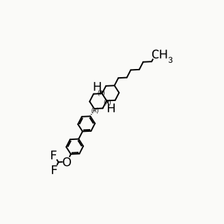 CCCCCCCC1CC[C@@H]2C[C@H](c3ccc(-c4ccc(OC(F)F)cc4)cc3)CC[C@@H]2C1